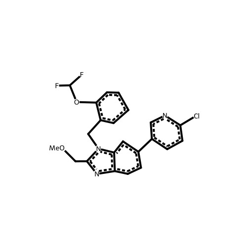 COCc1nc2ccc(-c3ccc(Cl)nc3)cc2n1Cc1ccccc1OC(F)F